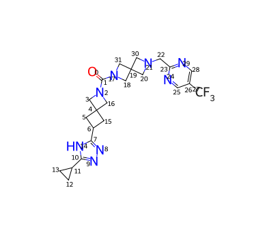 O=C(N1CC2(CC(c3nnc(C4CC4)[nH]3)C2)C1)N1CC2(CN(Cc3ncc(C(F)(F)F)cn3)C2)C1